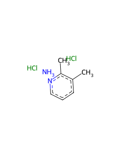 Cc1cccnc1C.Cl.Cl.N